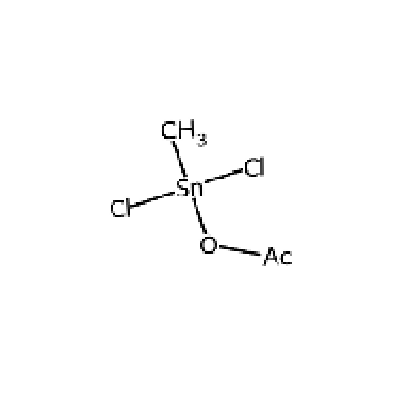 CC(=O)[O][Sn]([CH3])([Cl])[Cl]